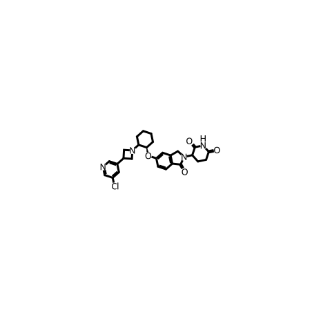 O=C1CCC(N2Cc3cc(O[C@@H]4CCCCC4N4CC(c5cncc(Cl)c5)C4)ccc3C2=O)C(=O)N1